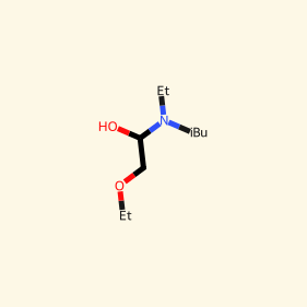 CCOCC(O)N(CC)C(C)CC